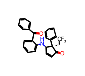 O=C(c1ccccc1)c1ccccc1N[C@@H]1C=CC(=O)[C@]1(CC(F)(F)F)c1ccccc1